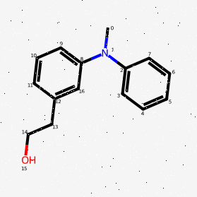 CN(c1ccccc1)c1cccc(CCO)c1